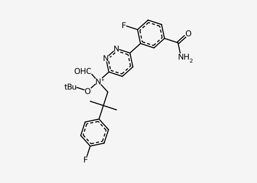 CC(C)(C)O[N+](C=O)(CC(C)(C)c1ccc(F)cc1)c1ccc(-c2cc(C(N)=O)ccc2F)nn1